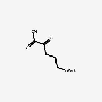 CCCCCCCCC(=O)C(=O)C#N